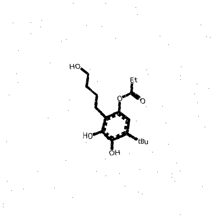 CCC(=O)Oc1cc(C(C)(C)C)c(O)c(O)c1CCCCO